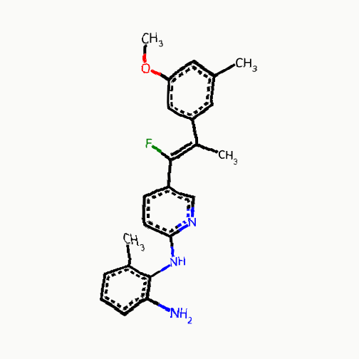 COc1cc(C)cc(/C(C)=C(\F)c2ccc(Nc3c(C)cccc3N)nc2)c1